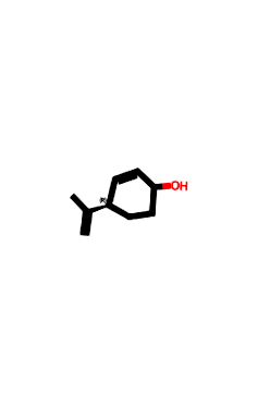 C=C(C)[C@H]1C=CC(O)CC1